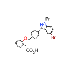 CC(C)n1nc(-c2ccc(COc3ccccc3CC(=O)O)cc2)c2cc(Br)ccc21